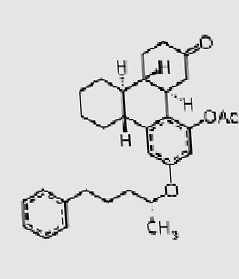 CC(=O)Oc1cc(O[C@H](C)CCCc2ccccc2)cc2c1[C@@H]1CC(=O)CC[C@H]1[C@@H]1CCCC[C@@H]21